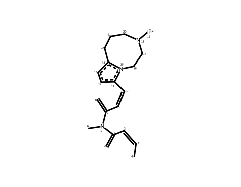 C=C(/C=C\C)N(C)C(=C)/C=C\c1ccc2n1CCN(C(C)C)CCC2